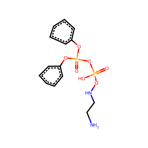 NCCNOP(=O)(O)OP(=O)(Oc1ccccc1)Oc1ccccc1